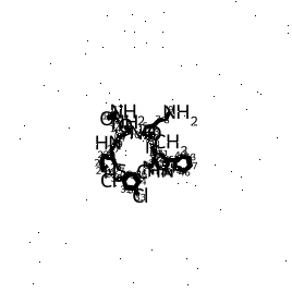 CN1C(=O)[C@H](CCCCN)NC(=O)[C@H](CNC(N)=O)NCc2cccnc2Sc2c(Cl)cc(Cl)cc2CNC(=O)[C@@H]1Cc1c[nH]c2ccccc12